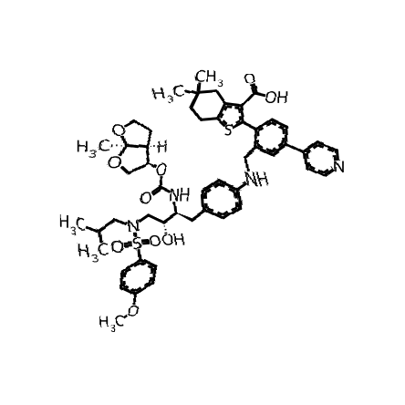 COc1ccc(S(=O)(=O)N(CC(C)C)C[C@@H](O)[C@H](Cc2ccc(NCc3cc(-c4ccncc4)ccc3-c3sc4c(c3C(=O)O)CC(C)(C)CC4)cc2)NC(=O)O[C@H]2CO[C@@]3(C)OCC[C@@H]23)cc1